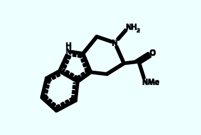 CNC(=O)C1Cc2c([nH]c3ccccc23)CN1N